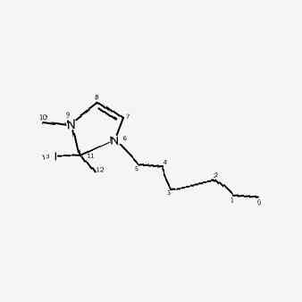 CCCCCCN1C=CN(C)C1(C)I